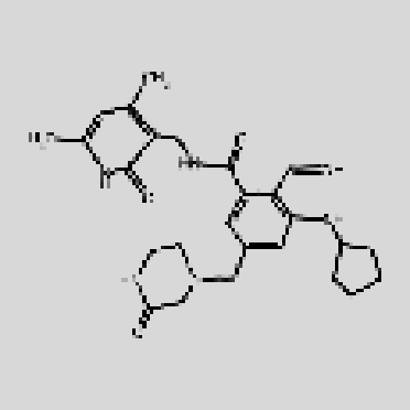 Cc1cc(C)c(CNC(=O)c2cc(CN3CCNC(=O)C3)cc(NC3CCCC3)c2C=N)c(=O)[nH]1